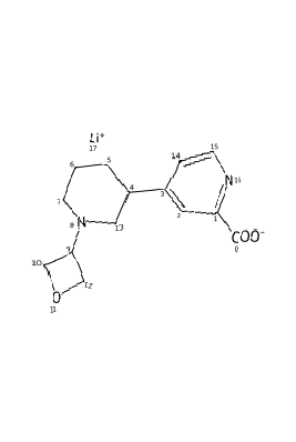 O=C([O-])c1cc(C2CCCN(C3COC3)C2)ccn1.[Li+]